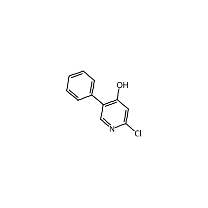 Oc1cc(Cl)ncc1-c1ccccc1